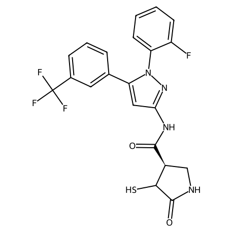 O=C1NC[C@H](C(=O)Nc2cc(-c3cccc(C(F)(F)F)c3)n(-c3ccccc3F)n2)C1S